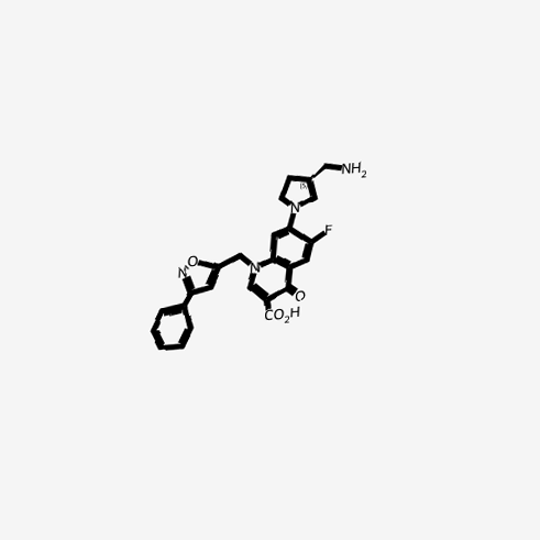 NC[C@@H]1CCN(c2cc3c(cc2F)c(=O)c(C(=O)O)cn3Cc2cc(-c3ccccc3)no2)C1